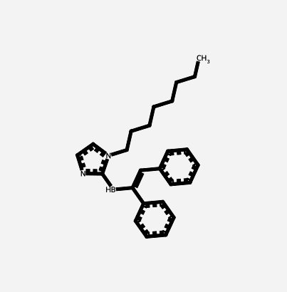 CCCCCCCCn1ccnc1BC(=Cc1ccccc1)c1ccccc1